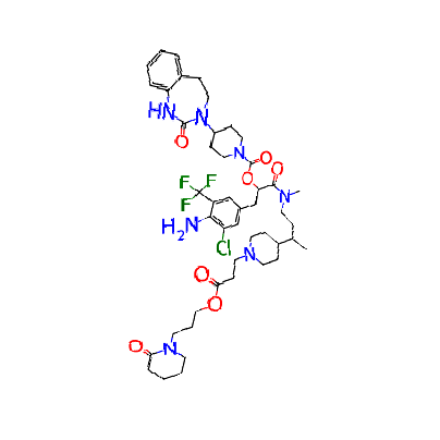 CC(CCN(C)C(=O)[C@@H](Cc1cc(Cl)c(N)c(C(F)(F)F)c1)OC(=O)N1CCC(N2CCc3ccccc3NC2=O)CC1)C1CCN(CCC(=O)OCCCN2CCCCC2=O)CC1